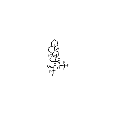 C[C@]12CCCCC1CC[C@@H]1[C@H]2CC[C@@]2(C)[C@H]1CCC2(OC(=O)C(F)(F)F)OC(=O)C(F)(F)F